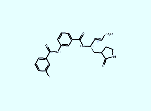 CCOC(=O)/C=C/[C@H](CC1CCNC1=O)NC(=O)c1cccc(NC(=O)c2cccc(F)c2)c1